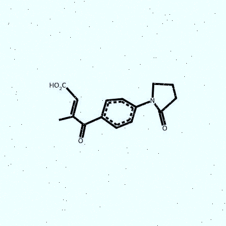 CC(=CC(=O)O)C(=O)c1ccc(N2CCCC2=O)cc1